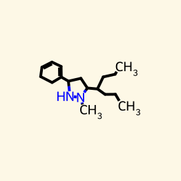 CCCC(CCC)C1CC(C2=CC=CCC2)NN1C